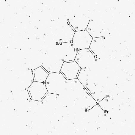 Cc1cccc2ncc(-c3cc(C#C[Si](C(C)C)(C(C)C)C(C)C)nc(NC(=O)C(C)N(C)C(=O)OC(C)(C)C)c3)n12